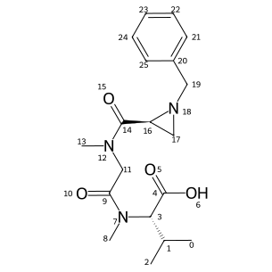 CC(C)[C@@H](C(=O)O)N(C)C(=O)CN(C)C(=O)[C@@H]1CN1Cc1ccccc1